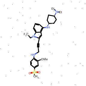 CCN(CC)[C@H]1CC[C@@H](Nc2cccc3c2cc(C#CCNc2ccc(S(C)(=O)=O)cc2OC)n3CC(F)(F)F)CC1